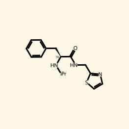 CC(C)N[C@@H](Cc1ccccc1)C(=O)NCc1nccs1